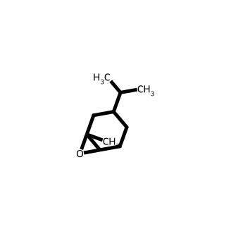 CC(C)C1CCC2OC2(C)C1